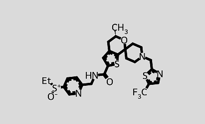 CC[S+]([O-])c1ccc(CNC(=O)c2cc3c(s2)C2(CCN(Cc4ncc(C(F)(F)F)s4)CC2)O[C@@H](C)C3)nc1